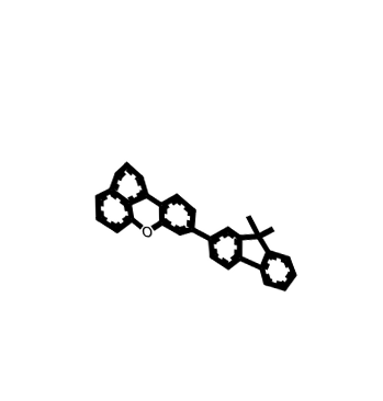 CC1(C)c2ccccc2-c2ccc(-c3ccc4c(c3)Oc3cccc5cccc-4c35)cc21